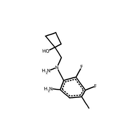 Cc1cc(N)c(N(N)CC2(O)CCC2)c(F)c1F